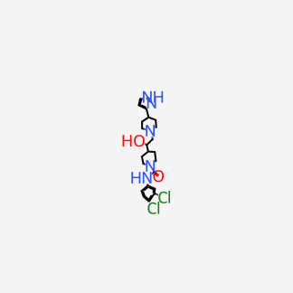 O=C(Nc1ccc(Cl)c(Cl)c1)N1CCC(C(O)CN2CCC(c3cc[nH]n3)CC2)CC1